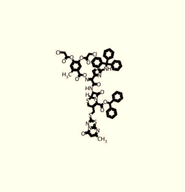 Cc1cc(=O)n2nc(SCC3=C(C(=O)OC(c4ccccc4)c4ccccc4)N4C(=O)[C@@H](NC(=O)C(=NOC(=O)c5cc(OC(=O)CCl)c(OC(=O)CCl)cc5C)c5csc(NC(c6ccccc6)(c6ccccc6)c6ccccc6)n5)[C@H]4SC3)sc2n1